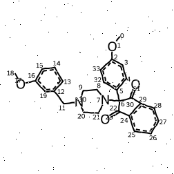 COc1ccc(C2(N3CCN(Cc4cccc(OC)c4)CC3)C(=O)c3ccccc3C2=O)cc1